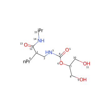 CCCC(CNC(=O)OC(CO)CO)C(=O)NC(C)C